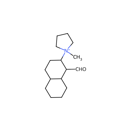 C[N+]1(C2CCC3CCCCC3C2C=O)CCCC1